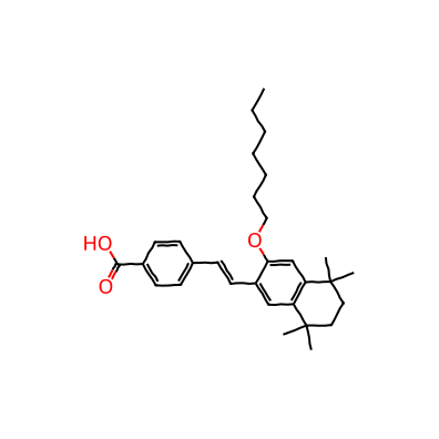 CCCCCCCOc1cc2c(cc1C=Cc1ccc(C(=O)O)cc1)C(C)(C)CCC2(C)C